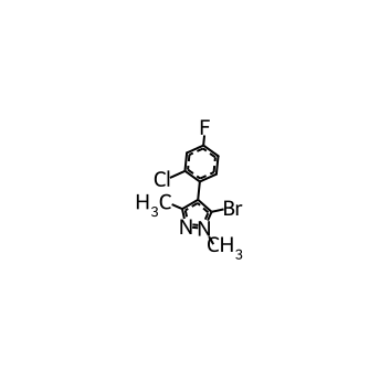 Cc1nn(C)c(Br)c1-c1ccc(F)cc1Cl